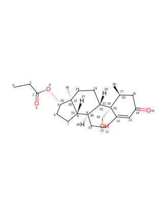 CCC(=O)O[C@H]1CC[C@H]2[C@@H]3CCC4=CC(=O)C[C@H](C)[C@]4(CO)[C@H]3CC[C@]12C